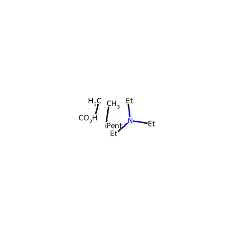 CC(=O)O.CCCC(C)C.CCN(CC)CC